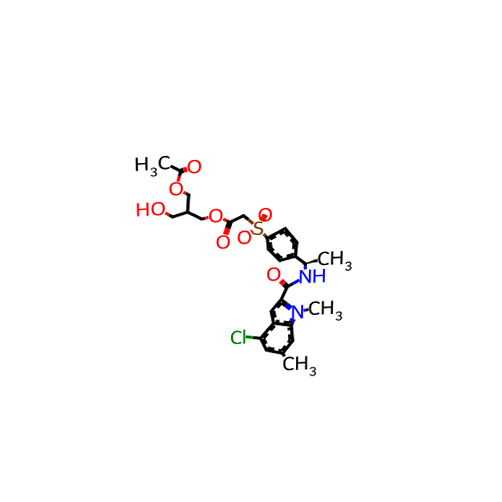 CC(=O)OCC(CO)COC(=O)CS(=O)(=O)c1ccc([C@@H](C)NC(=O)c2cc3c(Cl)cc(C)cc3n2C)cc1